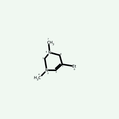 CCC1=CN(C)CN(C)C1